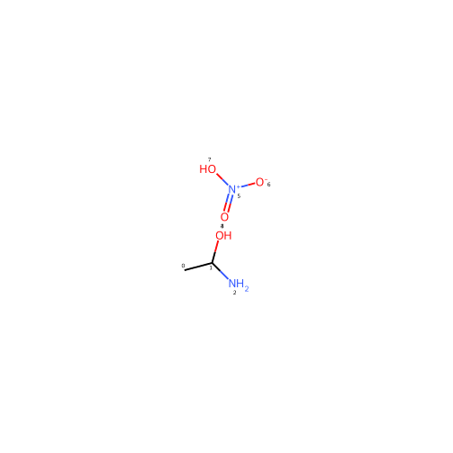 CC(N)O.O=[N+]([O-])O